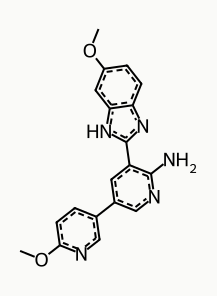 COc1ccc2nc(-c3cc(-c4ccc(OC)nc4)cnc3N)[nH]c2c1